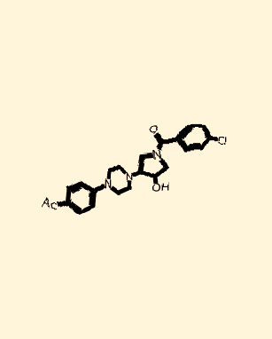 CC(=O)c1ccc(N2CCN(C3CN(C(=O)c4ccc(Cl)cc4)CC3O)CC2)cc1